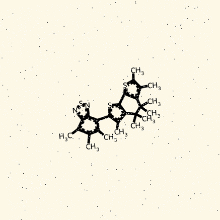 Cc1sc2c(c1C)C(C)(C)C(C)(C)c1c-2sc(-c2c(C)c(C)c(C)c3nsnc23)c1C